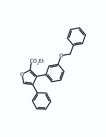 CCOC(=O)c1occ(-c2ccccc2)c1-c1cccc(OCc2ccccc2)c1